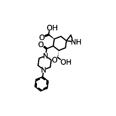 O=C(O)[C@H]1CC2(CN2)C[C@H](C(=O)O)C1C(=O)N1CCN(c2ccccc2)CC1